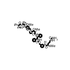 CC[C@@H](C)[C@H]([C@H](CC(=O)CN1CCC[C@@H]1[C@@H](OC)[C@H](C)C(=O)NC[C@H](c1ccccc1)[C@@H](NC(=O)OCc1cccc(NC(=O)[C@H](CCCNC(N)=O)NC)c1)c1ccccc1)OC)N(C)C(=O)[C@H](NC(=O)[C@@H](C(C)C)N(C)C)C(C)C